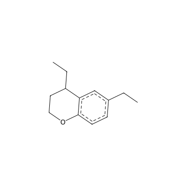 CCc1ccc2c(c1)C(CC)CCO2